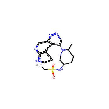 CC1CCC(NS(=O)(=O)CC(F)(F)F)CN1c1cnnc2cnc3[nH]ccc3c12